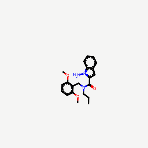 CCCN(Cc1c(OC)cccc1OC)C(=O)c1cc2ccccc2n1N